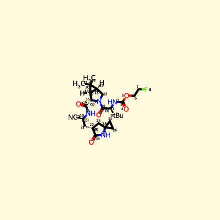 CC(C)(C)[C@H](NC(=O)OCCF)C(=O)N1C[C@H]2[C@@H]([C@H]1C(=O)N[C@H](C#N)C[C@@H]1CC3(CC3)NC1=O)C2(C)C